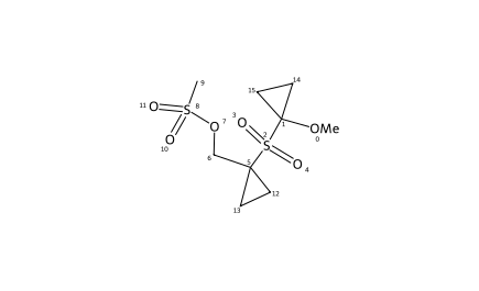 COC1(S(=O)(=O)C2(COS(C)(=O)=O)CC2)CC1